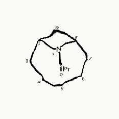 CC(C)N1C2CCCCCC1C2